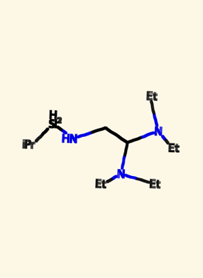 CCN(CC)C(CN[SiH2]C(C)C)N(CC)CC